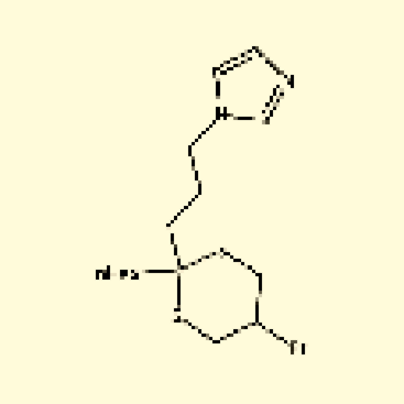 CCCCCCC1(CCCn2ccnc2)SCC(CC)CS1